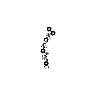 CN(CCN1CCC(OC(=O)Nc2ccccc2-c2ccccc2)CC1)C(=O)c1cccc(NC(=O)CNCc2ccc(O)cc2)c1